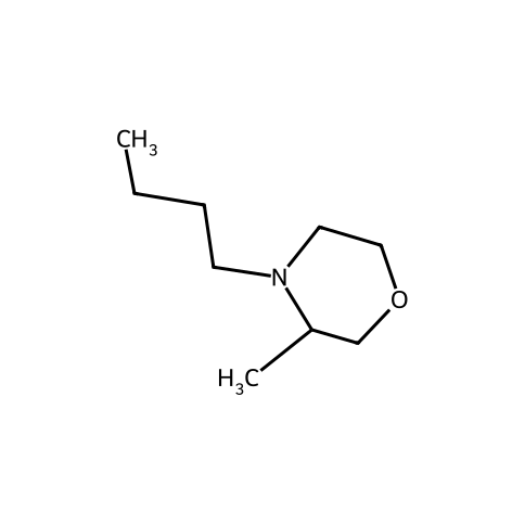 CCCCN1CCOCC1C